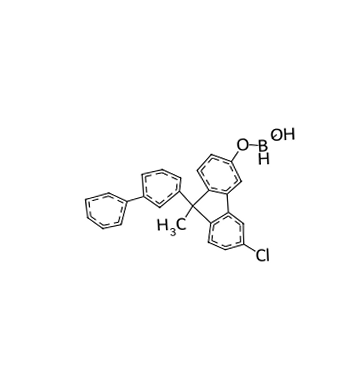 CC1(c2cccc(-c3ccccc3)c2)c2ccc(Cl)cc2-c2cc(OBO)ccc21